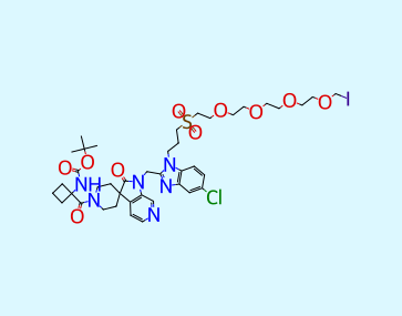 CC(C)(C)OC(=O)NC1(C(=O)N2CCC3(CC2)C(=O)N(Cc2nc4cc(Cl)ccc4n2CCCS(=O)(=O)CCOCCOCCOCCOCI)c2cnccc23)CCC1